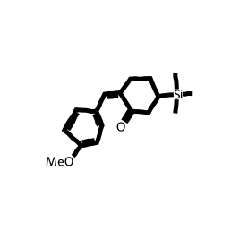 COc1ccc(/C=C2/CCC([Si](C)(C)C)CC2=O)cc1